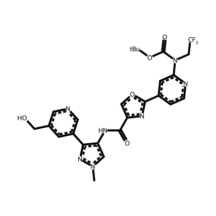 Cn1cc(NC(=O)c2coc(-c3ccnc(N(CC(F)(F)F)C(=O)OC(C)(C)C)c3)n2)c(-c2cncc(CO)c2)n1